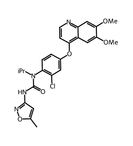 COc1cc2nccc(Oc3ccc(N(C(=O)Nc4cc(C)on4)C(C)C)c(Cl)c3)c2cc1OC